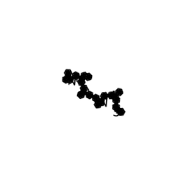 c1ccc(-n2c3ccc(-c4cccc(-c5ncc6cccc7c6c5-c5ccc(-c6ccc(-n8c9ccccc9c9cc(-c%10ccc%11c(c%10)c%10c%12ccccc%12ccc%10n%11-c%10cccc(-c%11ncc%12cccc%13c%12c%11-c%11ccccc%11-%13)c%10)ccc98)cc6)cc5-7)c4)cc3c3cc(-c4ccc5sc6ccccc6c5c4)ccc32)cc1